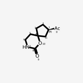 CC(=O)[C@@H]1CCC2(CCNC(=O)O2)C1